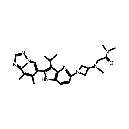 Cc1c(-c2[nH]c3ccc(N4CC(N(C)CC(=O)N(C)C)C4)nc3c2C(C)C)cn2ncnc2c1C